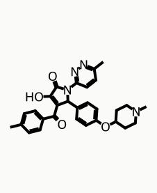 Cc1ccc(C(=O)C2=C(O)C(=O)N(c3ccc(C)nn3)C2c2ccc(OC3CCN(C)CC3)cc2)cc1